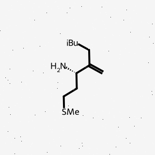 C=C(CC(C)CC)[C@@H](N)CCSC